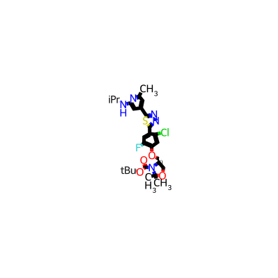 Cc1cc(-c2nnc(-c3cc(F)c(OC[C@H]4COC(C)(C)N4C(=O)OC(C)(C)C)cc3Cl)s2)cc(NC(C)C)n1